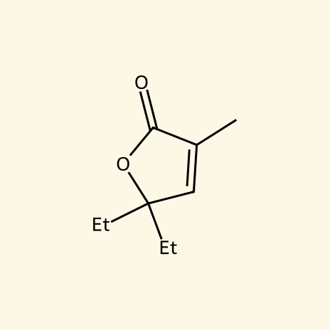 CCC1(CC)C=C(C)C(=O)O1